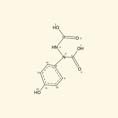 O=C(O)NN(C(=O)O)c1ccc(O)cc1